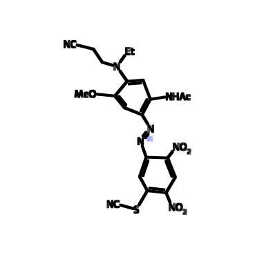 CCN(CCC#N)c1cc(NC(C)=O)c(/N=N/c2cc(SC#N)c([N+](=O)[O-])cc2[N+](=O)[O-])cc1OC